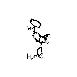 C[C@H]1CN(c2n[nH]c3nc(NC4CCCCC4)ncc23)CCO1